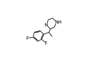 CC(c1ccc(F)cc1F)C1CNCC[N]1